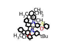 Cc1cc2c(cc1N1c3cc4c(cc3B3c5c(cc6ccccc6c51)-c1c(ccc5c1-c1ccccc1C5(C)C)N3c1ccc(C(C)(C)C)cc1-c1ccccc1)Oc1ccccc1S4)C(C)(C)CCC2(C)C